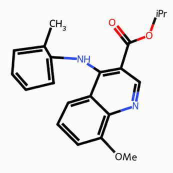 COc1cccc2c(Nc3ccccc3C)c(C(=O)OC(C)C)cnc12